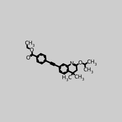 CCOC(=O)c1ccc(C#Cc2ccc3c(c2)N=C(OC(C)C)CC3(C)C)cc1